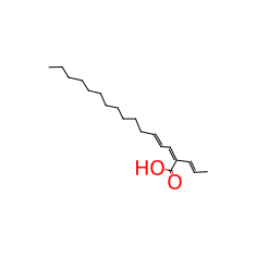 CC=CC(=CC=CCCCCCCCCCCC)C(=O)O